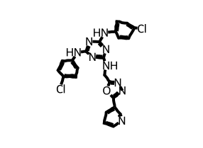 Clc1ccc(Nc2nc(NCc3nnc(-c4cccnc4)o3)nc(Nc3ccc(Cl)cc3)n2)cc1